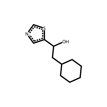 OC(CC1CCCCC1)c1cncs1